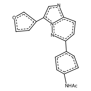 CC(=O)Nc1ccc(-c2ccc3ncc(-c4ccoc4)n3n2)cc1